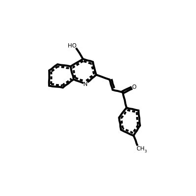 Cc1ccc(C(=O)C=Cc2cc(O)c3ccccc3n2)cc1